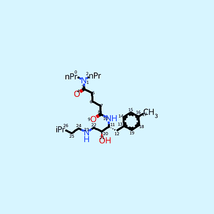 CCCN(CCC)C(=O)CCCC(=O)N[C@H](Cc1ccc(C)cc1)[C@@H](O)CNCCC(C)C